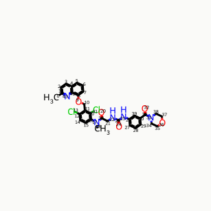 Cc1ccc2cccc(OCc3c(Cl)ccc(N(C)C(=O)CNC(=O)Nc4cccc(C(=O)N5CCOCC5)c4)c3Cl)c2n1